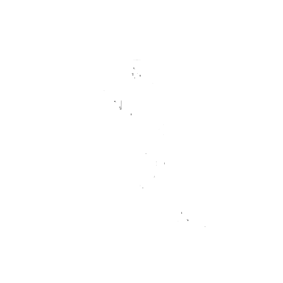 O=C(COc1cccc([N+](=O)[O-])c1)c1c2n(c3ccccc13)CCNCC2